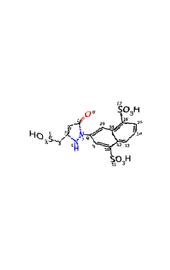 O=c1cc(CS(=O)(=O)O)[nH]n1-c1cc(S(=O)(=O)O)c2cccc(S(=O)(=O)O)c2c1